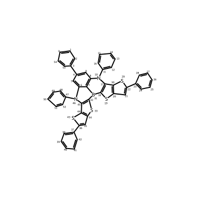 c1ccc(-c2cc3c4c(c2)N(c2ccccc2)c2c(sc5cc(-c6ccccc6)sc25)B4c2sc4cc(-c5ccccc5)sc4c2N3c2ccccc2)cc1